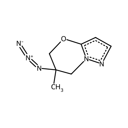 CC1(N=[N+]=[N-])COc2ccnn2C1